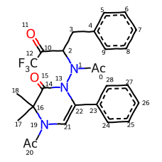 CC(=O)N(C(Cc1ccccc1)C(=O)C(F)(F)F)N1C(=O)C(C)(C)N(C(C)=O)C=C1c1ccccc1